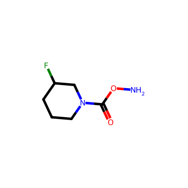 NOC(=O)N1CCCC(F)C1